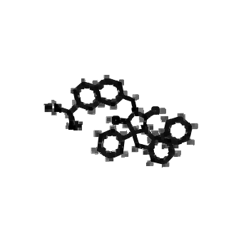 N=C(N)c1ccc2ccc(CN3C(=O)N(Cc4ccccc4)C(Cc4ccccc4)(c4ccccc4)C3=O)cc2c1